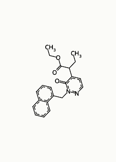 CCOC(=O)C(CC)c1ccnn(Cc2cccc3ccccc23)c1=O